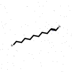 Br/C=C/CCCCCCCCBr